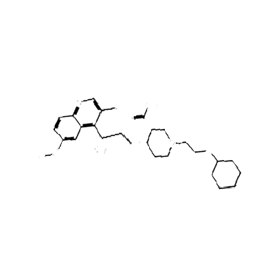 COc1ccc2ncc(F)c([C@@H](N)CC[C@H]3CCN(CCSC4CCCCC4)C[C@H]3C(=O)O)c2c1